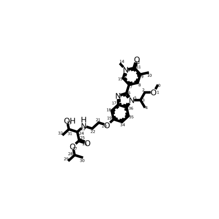 COCC(C)n1c(-c2cc(C)c(=O)n(C)c2)nc2cc(OCCNC(C(=O)OC(C)C)C(C)O)ccc21